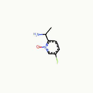 CC(N)c1ccc(F)c[n+]1[O-]